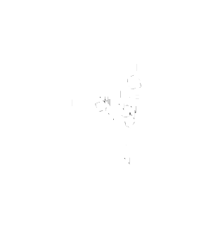 Cc1cc(Nc2nc(C(F)(F)c3ccc(F)cc3)nn3cc(COCCN4CCCCC4)cc23)n[nH]1